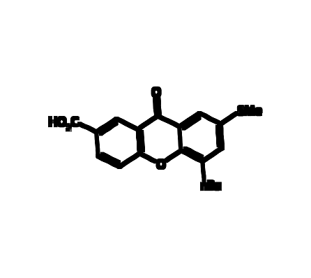 CCCCc1cc(SC)cc2c(=O)c3cc(C(=O)O)ccc3oc12